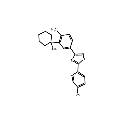 CC(=O)c1ccc(-c2nc(-c3ccc(C)c(C4(C)CCCCC4)c3)no2)cc1